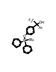 CC(=O)C(O)(c1ccc(O[Si](c2ccccc2)(c2ccccc2)C(C)(C)C)cc1)C(F)(F)F